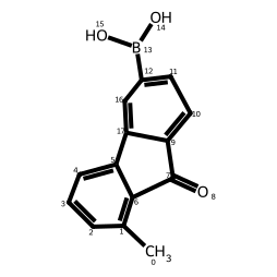 Cc1cccc2c1C(=O)c1ccc(B(O)O)cc1-2